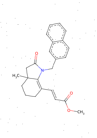 COC(=O)C=CC1=C2N(Cc3ccc4ccccc4c3)C(=O)CC2(C)CCC1